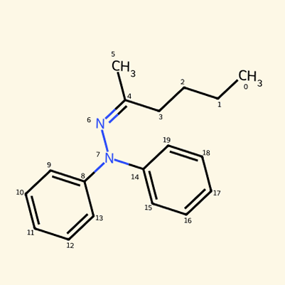 CCCCC(C)=NN(c1ccccc1)c1ccccc1